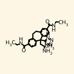 CCNC(=O)c1ccc2c(c1)CCc1cc(C(=O)NCC)ccc1C2(CC(C)N)c1nnn[nH]1